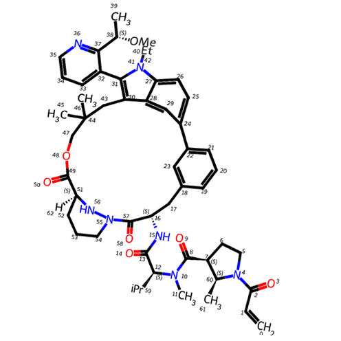 C=CC(=O)N1CC[C@H](C(=O)N(C)[C@H](C(=O)N[C@H]2Cc3cccc(c3)-c3ccc4c(c3)c(c(-c3cccnc3[C@H](C)OC)n4CC)CC(C)(C)COC(=O)[C@@H]3CCCN(N3)C2=O)C(C)C)[C@@H]1C